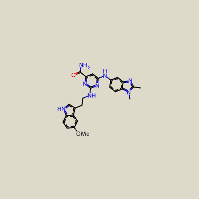 COc1ccc2[nH]cc(CCNc3nc(Nc4ccc5c(c4)nc(C)n5C)cc(C(N)=O)n3)c2c1